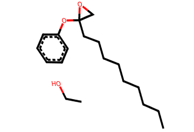 CCCCCCCCCC1(Oc2ccccc2)CO1.CCO